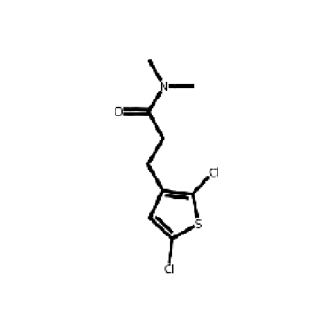 CN(C)C(=O)CCc1cc(Cl)sc1Cl